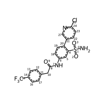 NS(=O)(=O)c1cc(NC(=O)Cc2ccc(C(F)(F)F)cc2)ccc1-c1ccc(Cl)nc1